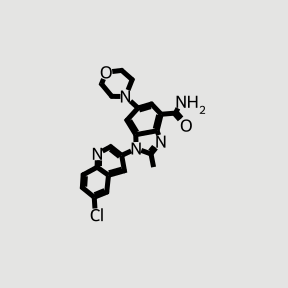 Cc1nc2c(C(N)=O)cc(N3CCOCC3)cc2n1-c1cnc2ccc(Cl)cc2c1